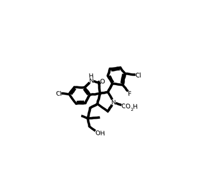 CC(C)(CO)CC1CN(C(=O)O)C(c2cccc(Cl)c2F)C12C(=O)Nc1cc(Cl)ccc12